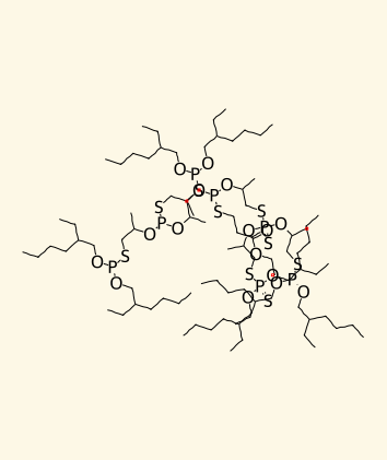 CCCCC(CC)COP(OCC(CC)CCCC)SCC(C)OP(OC(C)CSP(OCC(CC)CCCC)OCC(CC)CCCC)SCC(C)OP(OC(C)CSP(=S)(OC(C)CSP(OCC(CC)CCCC)OCC(CC)CCCC)OC(C)CSP(=S)(OCC(CC)CCCC)OCC(CC)CCCC)SCCC(=O)OCC